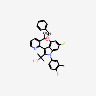 COC(=O)c1cccnc1-c1c(C(C)(C)O)n(-c2ccc(F)c(C)c2)c2cc(F)cc(OCc3ccccc3)c12